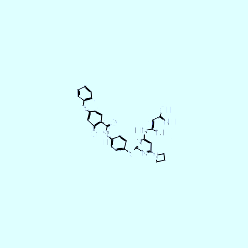 CC(=N)/C=C(\N)Nc1cc(N2CCC2)nc(Sc2ccc(NC(=O)c3ccc(Oc4ccccc4)cc3Cl)cc2)n1